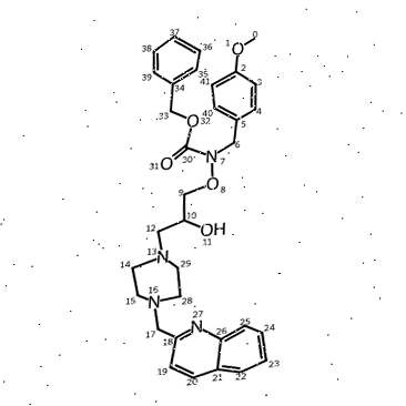 COc1ccc(CN(OCC(O)CN2CCN(Cc3ccc4ccccc4n3)CC2)C(=O)OCc2ccccc2)cc1